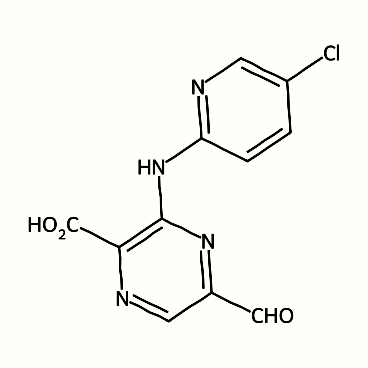 O=Cc1cnc(C(=O)O)c(Nc2ccc(Cl)cn2)n1